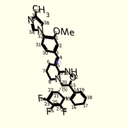 COc1cc(/C=C2\CCCN3C2NOC(C2=CCCC=C2)[C@@H]3C2C=C(F)C(F)=C(F)C2)ccc1-n1cnc(C)c1